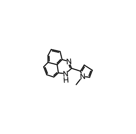 Cn1cccc1C1=Nc2cccc3cccc(c23)N1